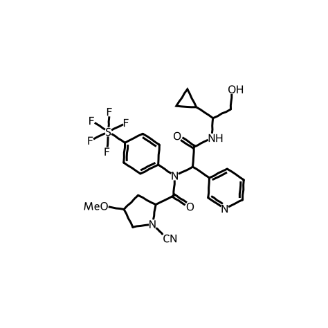 COC1CC(C(=O)N(c2ccc(S(F)(F)(F)(F)F)cc2)C(C(=O)NC(CO)C2CC2)c2cccnc2)N(C#N)C1